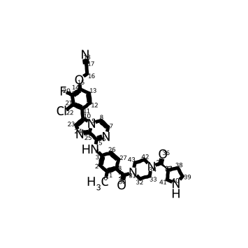 Cc1cc(Nc2nccn3c(-c4ccc(OCC#N)c(F)c4Cl)cnc23)ccc1C(=O)N1CCN(C(=O)[C@H]2CCNC2)CC1